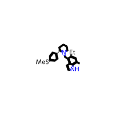 CCc1cc(C)c2[nH]ccc2c1CN1CCCC[C@H]1c1ccc(SC)cc1